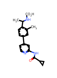 Cc1cc(-c2ccnc(NC(=O)C3CC3)c2)ccc1C(C)NC(=O)O